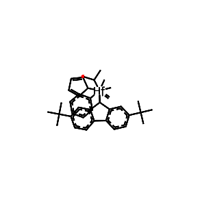 [CH2]=[Hf]([CH3])([CH3])([c]1ccccc1)([CH](C)C)([CH]1C=CC=C1)[CH]1c2cc(C(C)(C)C)ccc2-c2ccc(C(C)(C)C)cc21